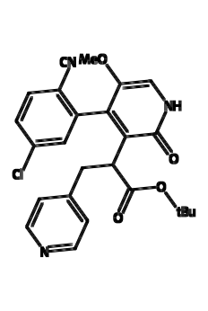 COc1c[nH]c(=O)c(C(Cc2ccncc2)C(=O)OC(C)(C)C)c1-c1cc(Cl)ccc1C#N